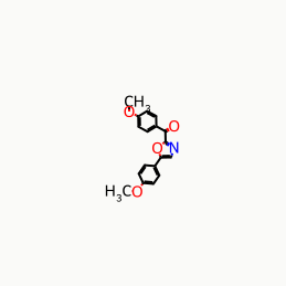 COc1ccc(C(=O)c2ncc(-c3ccc(OC)cc3)o2)cc1